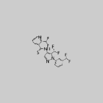 FC(F)c1cccc(-n2ncc(NC(=S)c3cccnc3C(F)F)c2C(F)F)c1